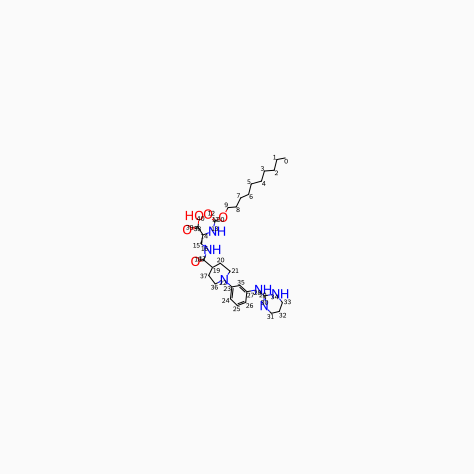 CCCCCCCCCCOC(=O)N[C@@H](CNC(=O)C1CCN(c2cccc(NC3=NCCCN3)c2)CC1)C(=O)O